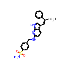 NS(=O)(=O)c1ccc(CNc2ccc3c(C=C(C(=O)O)c4ccccc4)c[nH]c3n2)cc1